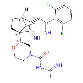 CC(=N)NC(=O)N1CCO[C@@H]([C@@]23CC[C@@H](/C(=C/C(=N)c4c(F)cccc4F)C2=N)C3(C)C)C1